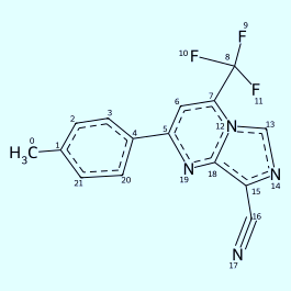 Cc1ccc(-c2cc(C(F)(F)F)n3cnc(C#N)c3n2)cc1